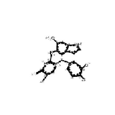 Cc1cc2[nH]ccc2cc1Nc1nc(=O)c(F)cn1Cc1ccc(F)c(Cl)c1